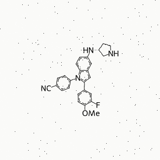 COc1ccc(-c2cc3cc(N[C@@H]4CCNC4)ccc3n2-c2ccc(C#N)cc2)cc1F